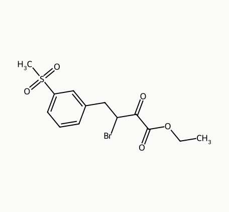 CCOC(=O)C(=O)C(Br)Cc1cccc(S(C)(=O)=O)c1